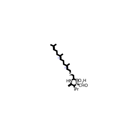 C=C(NC(CSC/C=C(\C)CC/C=C(\C)CCC=C(C)C)C(=O)O)C(NC=O)C(C)C